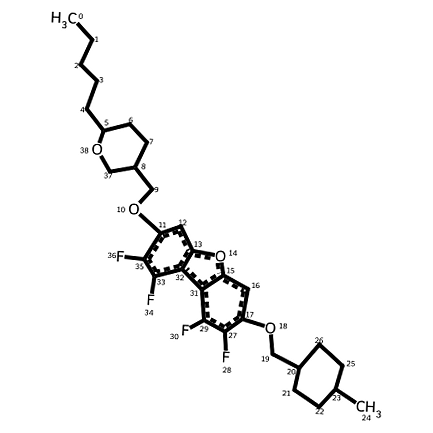 CCCCCC1CCC(COc2cc3oc4cc(OCC5CCC(C)CC5)c(F)c(F)c4c3c(F)c2F)CO1